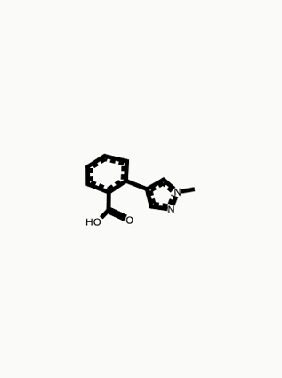 Cn1cc(-c2ccccc2C(=O)O)cn1